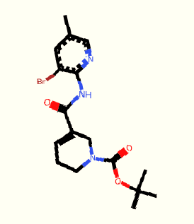 Cc1cnc(NC(=O)C2=CCCN(C(=O)OC(C)(C)C)C2)c(Br)c1